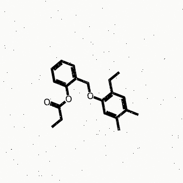 CCC(=O)Oc1ccccc1COc1cc(C)c(C)cc1CC